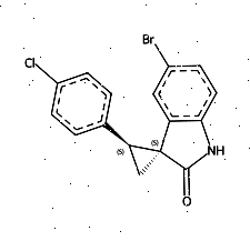 O=C1Nc2ccc(Br)cc2[C@@]12C[C@H]2c1ccc(Cl)cc1